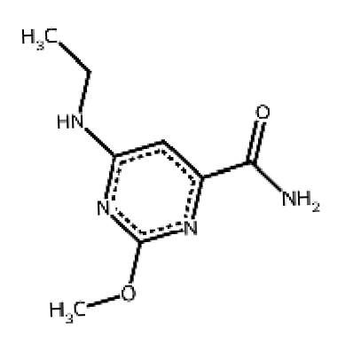 CCNc1cc(C(N)=O)nc(OC)n1